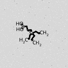 C=CC[Si](C=CCB(O)O)(CC=C)CC=C